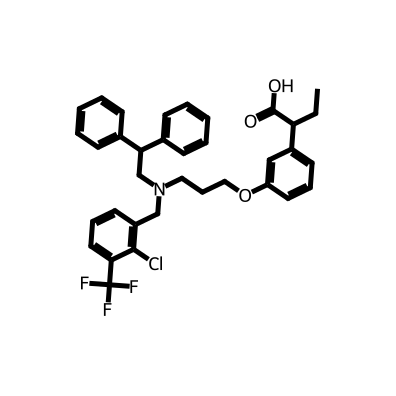 CCC(C(=O)O)c1cccc(OCCCN(Cc2cccc(C(F)(F)F)c2Cl)CC(c2ccccc2)c2ccccc2)c1